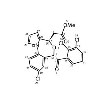 COC(=O)C[C@H]1O[C@H](C(=O)c2cccc(Cl)c2Cl)c2cc(Cl)ccc2-n2cccc21